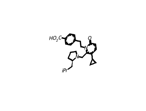 CC(C)C[C@H]1CCCN1Cc1c(C2CC2)ccc(=O)n1CCc1ccc(C(=O)O)cc1